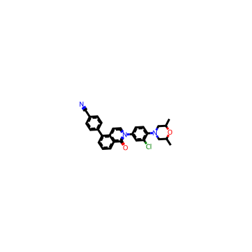 CC1CN(c2ccc(-n3ccc4c(-c5ccc(C#N)cc5)cccc4c3=O)cc2Cl)CC(C)O1